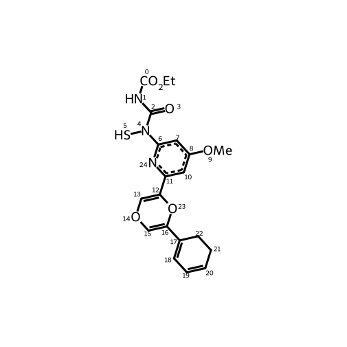 CCOC(=O)NC(=O)N(S)c1cc(OC)cc(C2=COC=C(C3=CC=CCC3)O2)n1